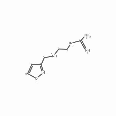 N=C(N)NCCNCc1ccon1